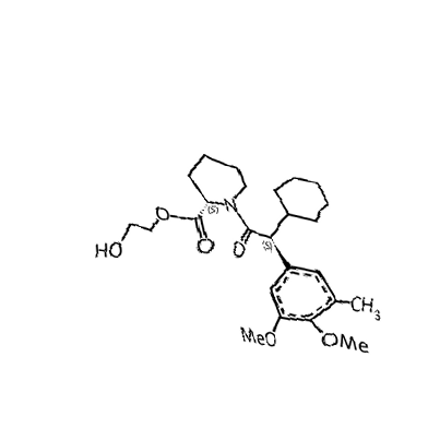 COc1cc([C@@H](C(=O)N2CCCC[C@H]2C(=O)OCCO)C2CCCCC2)cc(C)c1OC